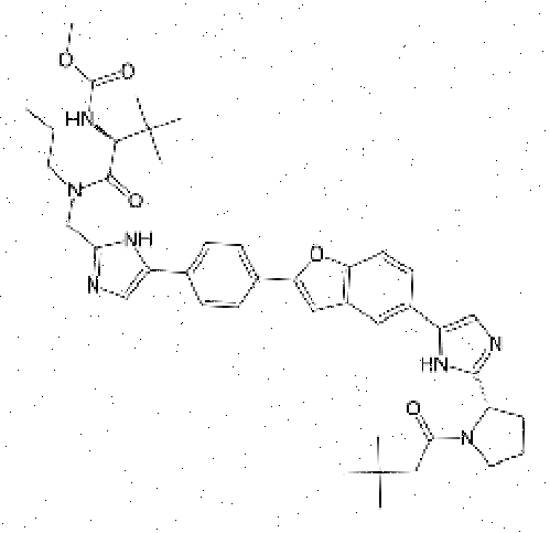 CCCN(Cc1ncc(-c2ccc(-c3cc4cc(-c5cnc([C@@H]6CCCN6C(=O)CC(C)(C)C)[nH]5)ccc4o3)cc2)[nH]1)C(=O)[C@@H](NC(=O)OC)C(C)(C)C